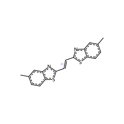 Cc1ccc2sc(/C=C/c3nc4cc(C)ccc4s3)nc2c1